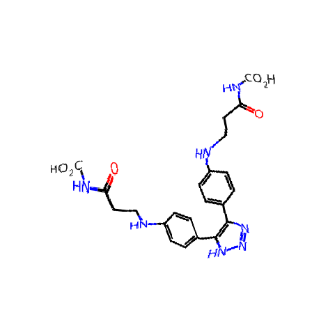 O=C(O)NC(=O)CCNc1ccc(-c2nn[nH]c2-c2ccc(NCCC(=O)NC(=O)O)cc2)cc1